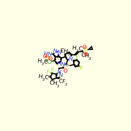 C[C@@H]1c2c(C(F)(F)F)nn(CC(=O)N[C@@H](Cc3cc(F)cc(F)c3)c3nc(C#CC(C)(C)S(=O)(=O)C4CC4)ccc3-c3ccc(Cl)c4c(NS(C)(=O)=O)nn(C)c34)c2C(F)(F)[C@@H]1C